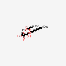 CCCCCCCCCCCCCC(=O)OC(C)C.CCCCCCCCCCCCCCCCCC(=O)OC[C@@H](O)[C@H]1OC[C@H](O)[C@H]1O